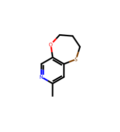 Cc1cc2c(cn1)OCCCS2